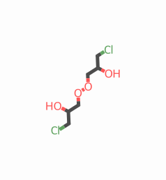 OC(CCl)COOCC(O)CCl